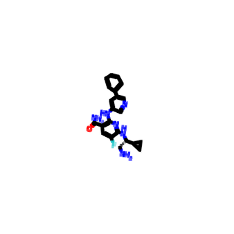 NC[C@H](Nc1nc(Nc2cncc(-c3ccccc3)c2)c(C(N)=O)cc1F)C1CC1